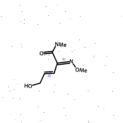 CNC(=O)C(/C=C/CO)=N/OC